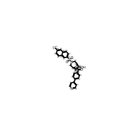 O=C(c1ccc(-c2ccncc2)cc1)N1C2CN(S(=O)(=O)c3ccc4cc(Cl)ccc4c3)CC1C(O)C2O